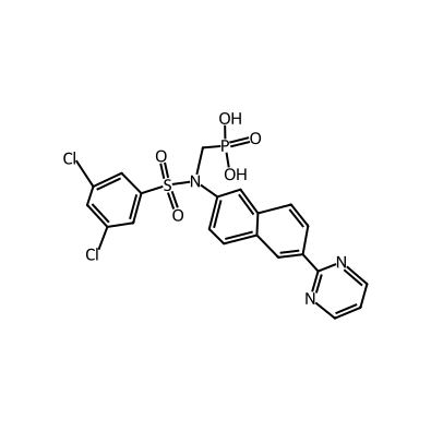 O=P(O)(O)CN(c1ccc2cc(-c3ncccn3)ccc2c1)S(=O)(=O)c1cc(Cl)cc(Cl)c1